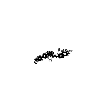 CN[C@H]1CCc2ccc(CCCC(NC(=O)c3ccc(-c4ccc(C(C)=O)cc4)cc3)OC)cc2C1